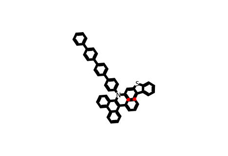 c1ccc(-c2ccc(-c3ccc(-c4ccc(N(c5ccc6c(c5)sc5ccccc56)c5c(-c6ccccc6)c6ccccc6c6ccccc56)cc4)cc3)cc2)cc1